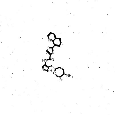 N[C@@H]1CC[C@@H](Cc2[nH]ncc2NC(=O)c2csc(-c3cccc4cccnc34)n2)OC[C@H]1F